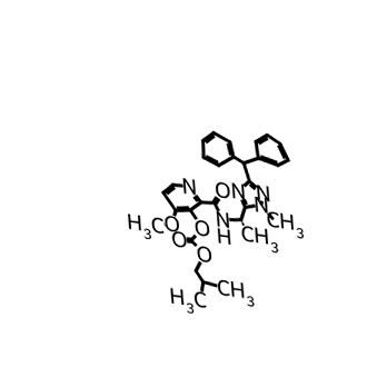 COc1ccnc(C(=O)N[C@@H](C)c2nc(C(c3ccccc3)c3ccccc3)nn2C)c1OC(=O)OCC(C)C